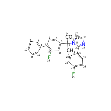 CCOC(=O)C(C)(c1ccc(-c2ccccc2)c(F)c1)n1ccnc1-c1ccc(F)cc1